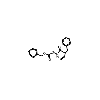 C=CC(Cc1ccccc1)C(=O)NOC(=O)OCc1ccccc1